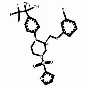 CC(O)(c1ccc(N2CCN(S(=O)(=O)c3cccs3)C[C@@H]2CSc2cccc(F)c2)cc1)C(F)(F)F